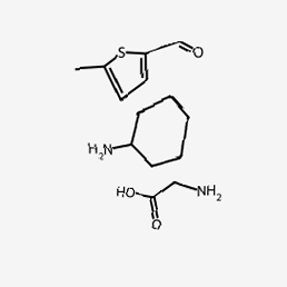 Cc1ccc(C=O)s1.NC1CCCCC1.NCC(=O)O